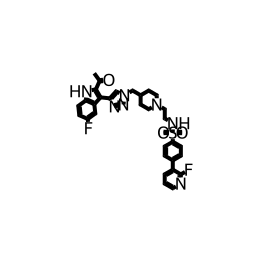 CC(=O)c1[nH]c2ccc(F)cc2c1-c1cn(CC2CCN(CCNS(=O)(=O)c3ccc(-c4cccnc4F)cc3)CC2)nn1